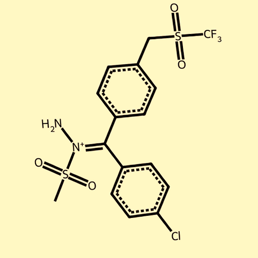 CS(=O)(=O)[N+](N)=C(c1ccc(Cl)cc1)c1ccc(CS(=O)(=O)C(F)(F)F)cc1